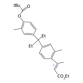 CCOC(=O)/C=C(\C)c1ccc(C(CC)(CC)c2ccc(OC(=O)C(C)(C)C)c(C)c2)cc1C